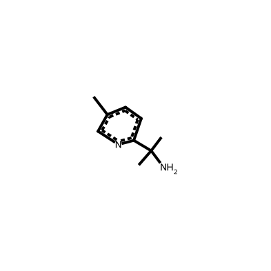 Cc1ccc(C(C)(C)N)nc1